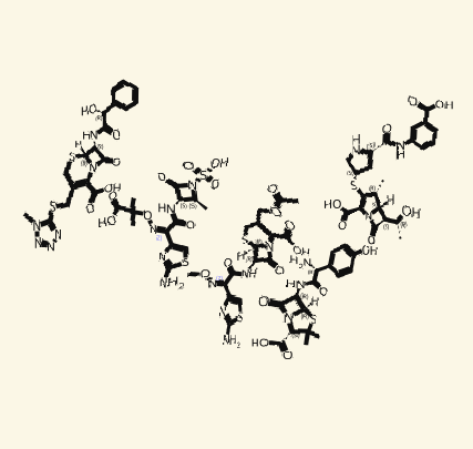 CC1(C)S[C@@H]2[C@H](NC(=O)[C@H](N)c3ccc(O)cc3)C(=O)N2[C@H]1C(=O)O.CO/N=C(\C(=O)N[C@@H]1C(=O)N2C(C(=O)O)=C(COC(C)=O)CS[C@H]12)c1csc(N)n1.C[C@@H](O)[C@H]1C(=O)N2C(C(=O)O)=C(S[C@@H]3CN[C@H](C(=O)Nc4cccc(C(=O)O)c4)C3)[C@H](C)[C@H]12.C[C@H]1[C@H](NC(=O)/C(=N\OC(C)(C)C(=O)O)c2csc(N)n2)C(=O)N1S(=O)(=O)O.Cn1nnnc1SCC1=C(C(=O)O)N2C(=O)[C@@H](NC(=O)[C@H](O)c3ccccc3)[C@H]2SC1